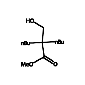 CCCCC(CO)(CCCC)C(=O)OC